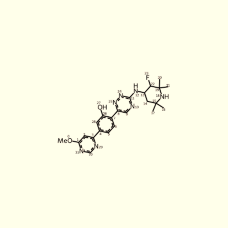 COc1cc(-c2ccc(-c3cnc(NC4CC(C)(C)NC(C)(C)C4F)nn3)c(O)c2)ncn1